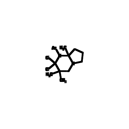 CC(=O)N1C2(C)CCCN2CC(C)(C)C1(Cl)Cl